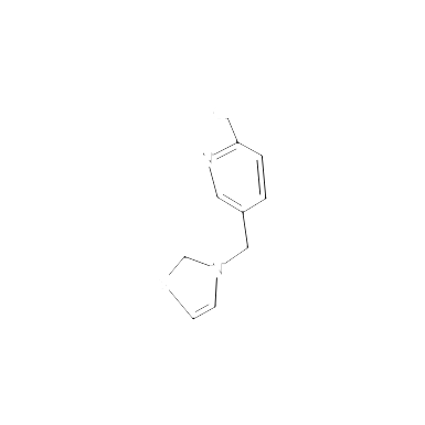 Clc1ccc(CN2C=CSC2)cn1